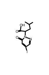 CC(C)CC(C(=O)O)n1ncc(I)cc1=O